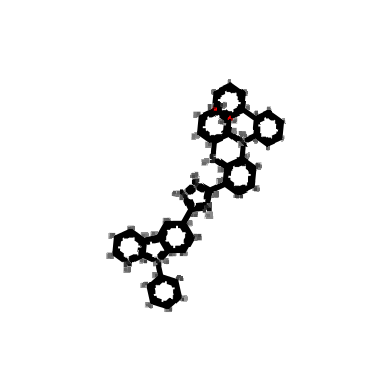 c1ccc(-c2ccccc2N2c3ccccc3Sc3c(-c4nc(-c5ccc6c(c5)c5cccnc5n6-c5ccccc5)ns4)cccc32)cc1